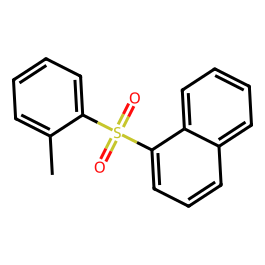 Cc1ccccc1S(=O)(=O)c1cccc2ccccc12